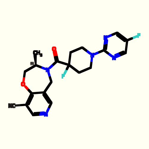 C[C@@H]1COc2c(C#N)cncc2CN1C(=O)C1(F)CCN(c2ncc(F)cn2)CC1